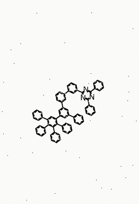 c1ccc(-c2cc(-c3cccc(-c4cccc(-c5nc(-c6ccccc6)nc(-c6ccccc6)n5)c4)c3)cc(-c3cc(-c4ccccc4)c(-c4ccccc4)c(-c4ccccc4)c3-c3ccccc3)c2)cc1